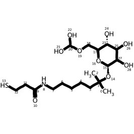 CC(C)(CCCCCNC(=O)CCS)O[C@H]1OC(COC(O)O)[C@H](O)C(O)C1O